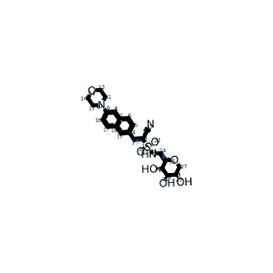 N#C/C(=C\c1ccc2cc(N3CCOCC3)ccc2c1)S(=O)(=O)N/C=C1/OC[C@H](O)[C@@H](O)[C@@H]1O